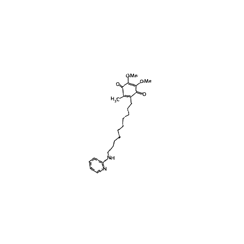 COC1=C(OC)C(=O)C(CCCCCCCCCCNc2ccccn2)=C(C)C1=O